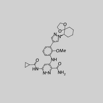 COc1c(Nc2cc(NC(=O)C3CC3)nnc2C(N)=O)cccc1-c1cnn([C@@H]2CCCCC23OCCO3)c1